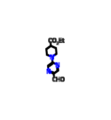 CCOC(=O)C1CCN(c2cnc(C=O)cn2)CC1